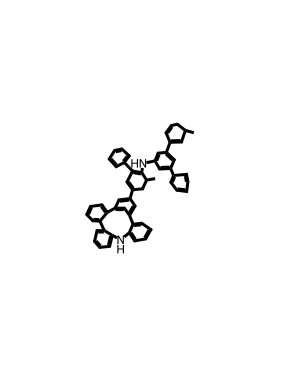 CC1C=C(c2cc(NC3=C(c4ccccc4)C=C(c4cc5cc(c4)-c4ccccc4-c4ccccc4Nc4ccccc4-5)CC3C)cc(-c3ccccc3)c2)C=CC1